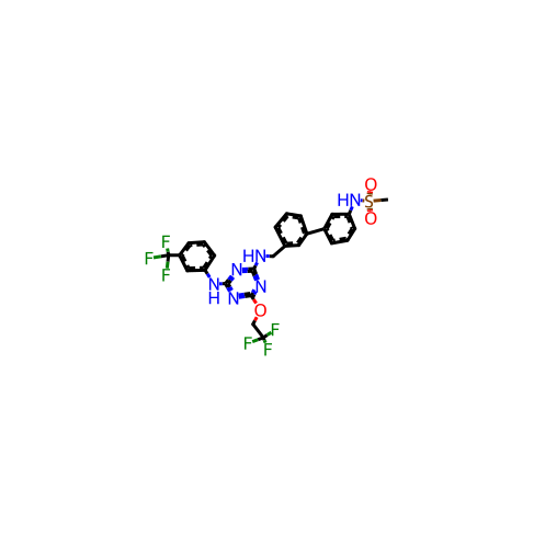 CS(=O)(=O)Nc1cccc(-c2cccc(CNc3nc(Nc4cccc(C(F)(F)F)c4)nc(OCC(F)(F)F)n3)c2)c1